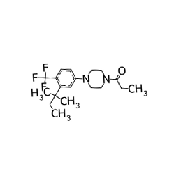 CCC(=O)N1CCN(c2ccc(C(F)(F)F)c(C(C)(C)CC)c2)CC1